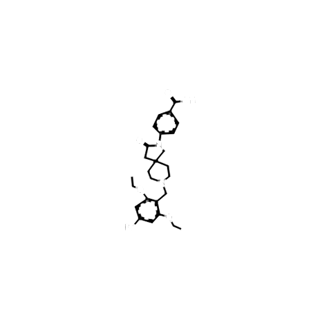 CCOc1cc(Br)cc(OCC)c1CN1CCC2(CC1)CC(=O)N(c1ccc(C(=O)O)cc1)C2